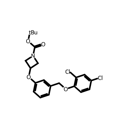 CC(C)(C)OC(=O)N1CC(Oc2cccc(COc3ccc(Cl)cc3Cl)c2)C1